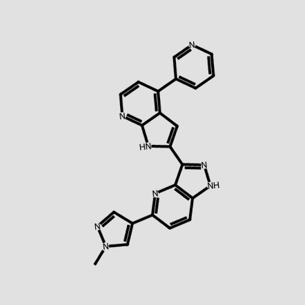 Cn1cc(-c2ccc3[nH]nc(-c4cc5c(-c6cccnc6)ccnc5[nH]4)c3n2)cn1